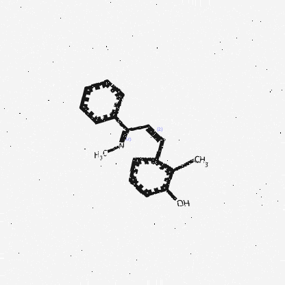 C/N=C(/C=C\c1cccc(O)c1C)c1ccccc1